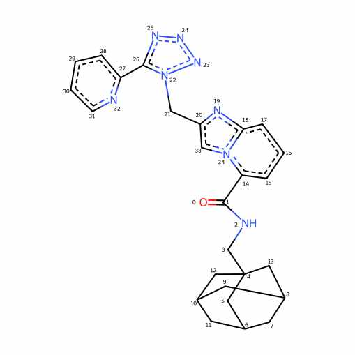 O=C(NCC12CC3CC(CC(C3)C1)C2)c1cccc2nc(Cn3nnnc3-c3ccccn3)cn12